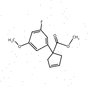 COC(=O)C1(c2cc(F)cc(OC)c2)CC=CC1